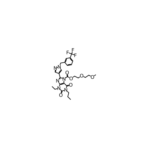 CCCn1c(=O)c2c(nc(-c3cnn(Cc4cccc(C(F)(F)F)c4)c3)n2C(=O)OCCOCCOC)n(CC)c1=O